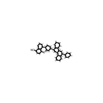 N#Cc1ccc2c3c(cccc13)-c1ccc(-c3cc4c5ccccc5c(-c5ccccc5)cc4c4ccccc34)cc1O2